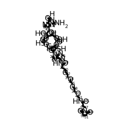 Nc1nc2c(ncn2[C@@H]2O[C@@H]3COP(=O)(O)OC4C(S)[C@H](n5cnc6c(NC(=O)CCOCCOCCOCCOCCNC(=O)CCN7C(=O)C=CC7=O)ncnc65)O[C@@H]4COP(=O)(S)OC3C2O)c(=O)[nH]1